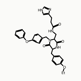 CCOc1ccc(CC2NC(=O)C(CNC(=O)CCc3c[nH]cn3)N(Cc3ccc(Oc4ccccc4)cc3)C2=O)cc1